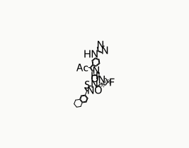 CC(=O)c1cn(CC(=O)N2C[C@H](F)C[C@H]2C(=O)Nc2nc(-c3ccc4c(c3)CCCC4)cs2)c2ccc(Nc3cncnc3)cc12